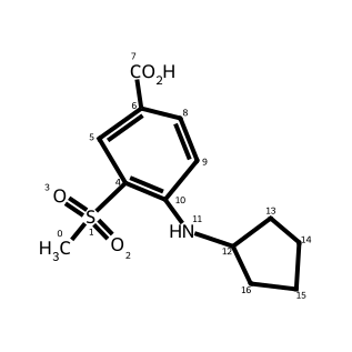 CS(=O)(=O)c1cc(C(=O)O)ccc1NC1CCCC1